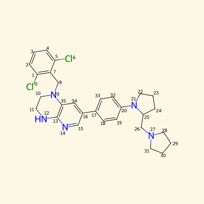 Clc1cccc(Cl)c1CN1CCNc2ncc(-c3ccc(N4CCCC4CN4CCCC4)cc3)cc21